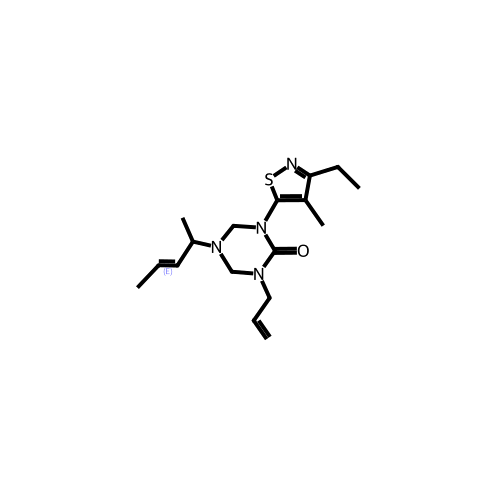 C=CCN1CN(C(C)/C=C/C)CN(c2snc(CC)c2C)C1=O